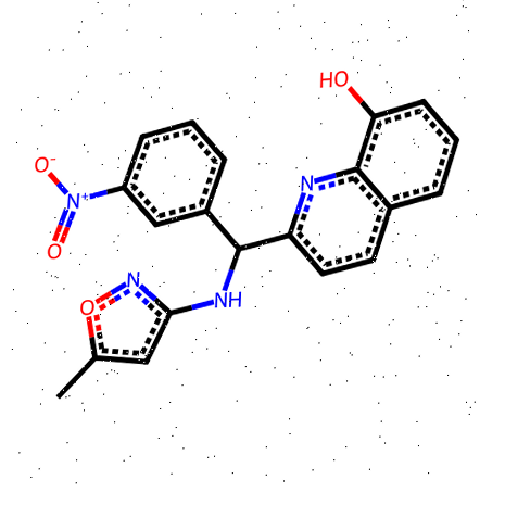 Cc1cc(NC(c2cccc([N+](=O)[O-])c2)c2ccc3cccc(O)c3n2)no1